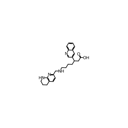 O=C(O)CC(CCCCNCc1ccc2c(n1)NCCC2)c1cnc2ccccc2c1